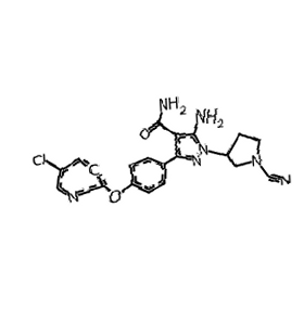 N#CN1CCC(n2nc(-c3ccc(Oc4ccc(Cl)cn4)cc3)c(C(N)=O)c2N)C1